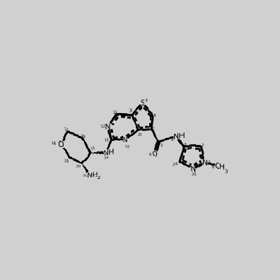 Cn1cc(NC(=O)c2csc3cnc(N[C@@H]4CCOC[C@@H]4N)nc23)cn1